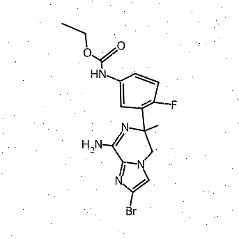 CCOC(=O)Nc1ccc(F)c(C2(C)Cn3cc(Br)nc3C(N)=N2)c1